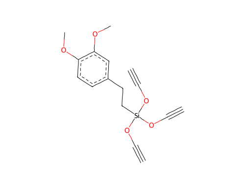 C#CO[Si](CCc1ccc(OC)c(OC)c1)(OC#C)OC#C